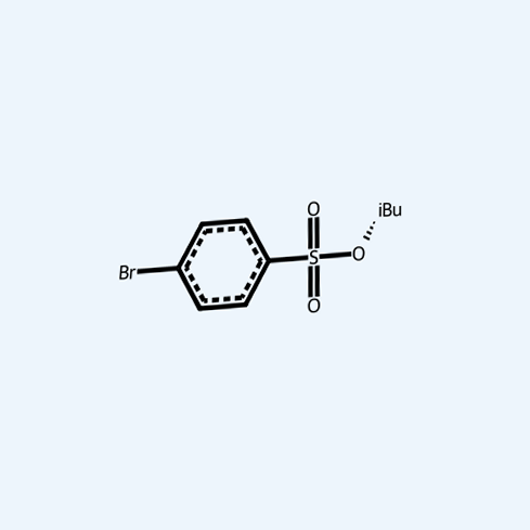 CC[C@@H](C)OS(=O)(=O)c1ccc(Br)cc1